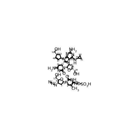 Cc1cn([C@H]2C[C@H](N=[N+]=[N-])[C@@H](CO)O2)c(=O)[nH]c1=O.Nc1ccn([C@@H]2CS[C@H](CO)O2)c(=O)n1.Nc1nc(NC2CC2)c2ncn([C@H]3C=C[C@@H](CO)C3)c2n1.O=S(=O)(O)O